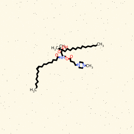 CCCCCCCC/C=C\CCCCCCCC(=O)N[C@@H](COC(=O)CCCN1CCN(C)CC1)[C@@H]1OC(C)(C)C1(O)CCCCCCCCCCCCCC